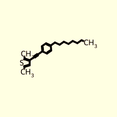 CCCCCCCCc1ccc(C#Cc2cc(C)sc2C)cc1